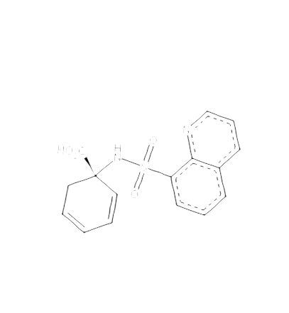 O=C(O)[C@@]1(NS(=O)(=O)c2cccc3cccnc23)C=CC=CC1